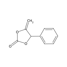 C=C1OC(=O)OC1c1ccccc1